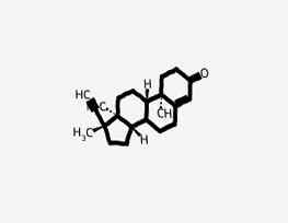 C#C[C@@]1(C)CC[C@H]2C3CCC4=CC(=O)CC[C@]4(C)[C@H]3CC[C@@]21C